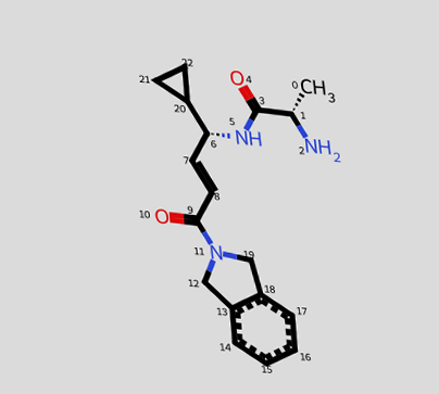 C[C@H](N)C(=O)N[C@H](/C=C/C(=O)N1Cc2ccccc2C1)C1CC1